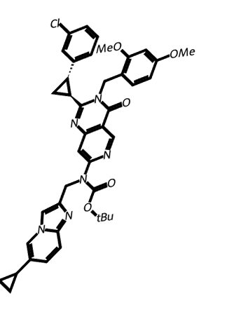 COc1ccc(Cn2c([C@H]3C[C@@H]3c3cccc(Cl)c3)nc3cc(N(Cc4cn5cc(C6CC6)ccc5n4)C(=O)OC(C)(C)C)ncc3c2=O)c(OC)c1